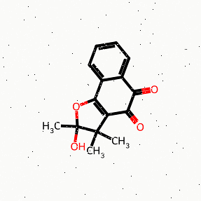 CC1(O)OC2=C(C(=O)C(=O)c3ccccc32)C1(C)C